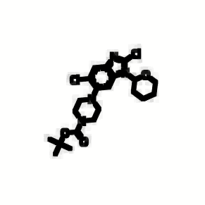 CC(C)(C)OC(=O)N1CCN(c2cc3c(cc2Cl)nc(Cl)n3C2CCCCO2)CC1